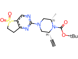 C#C[C@@H]1CN(c2ncc3c(n2)CCS3(=O)=O)C[C@H](C)N1C(=O)OC(C)(C)C